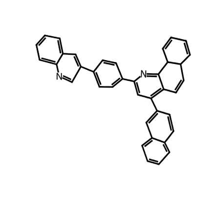 C1=CC2C=Cc3c(-c4ccc5ccccc5c4)cc(-c4ccc(-c5cnc6ccccc6c5)cc4)nc3C2C=C1